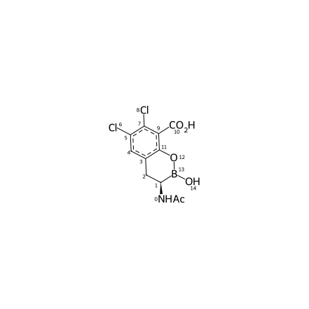 CC(=O)N[C@H]1Cc2cc(Cl)c(Cl)c(C(=O)O)c2OB1O